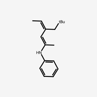 C/C=C(\C=C(/C)Nc1ccccc1)CC(C)(C)C